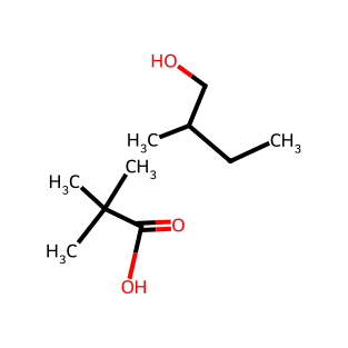 CC(C)(C)C(=O)O.CCC(C)CO